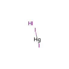 I.[I][Hg][I]